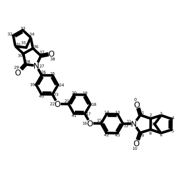 O=C1C2C3C=CC(C3)C2C(=O)N1c1ccc(Oc2cccc(Oc3ccc(N4C(=O)C5C6C=CC(C6)C5C4=O)cc3)c2)cc1